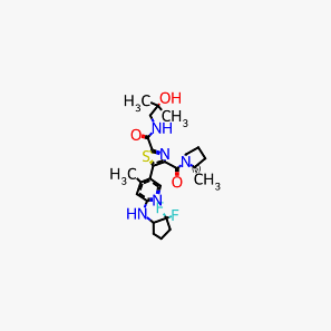 Cc1cc(NC2CCCC2(F)F)ncc1-c1sc(C(=O)NCC(C)(C)O)nc1C(=O)N1CCC[C@@H]1C